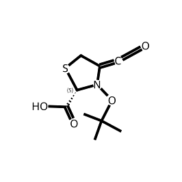 CC(C)(C)ON1C(=C=O)CS[C@H]1C(=O)O